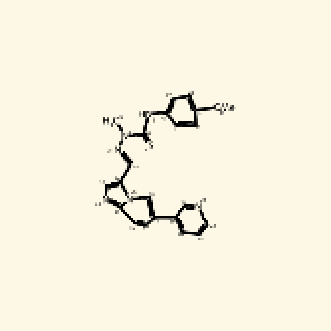 COc1ccc(NC(=S)N(C)N=Cc2cnc3ccc(-c4cccnc4)cn23)cc1